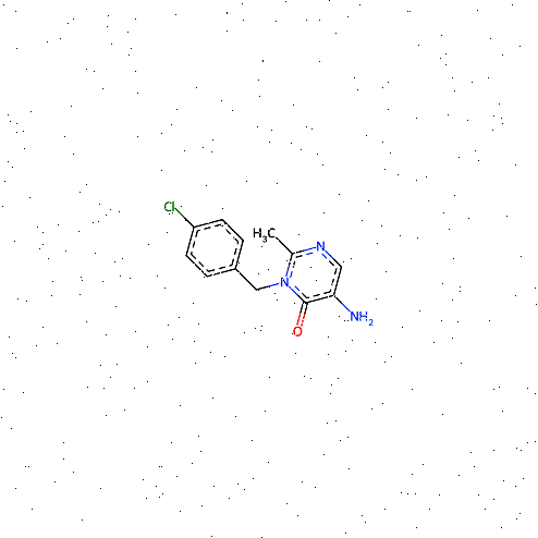 Cc1ncc(N)c(=O)n1Cc1ccc(Cl)cc1